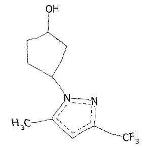 Cc1cc(C(F)(F)F)nn1C1CCC(O)C1